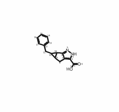 O=C(O)c1[nH]nc2c1CC1C(Cc3ccccc3)C21